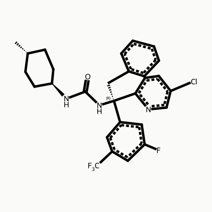 C[C@H]1CC[C@H](NC(=O)N[C@](Cc2ccccc2)(c2cc(F)cc(C(F)(F)F)c2)c2ccc(Cl)cn2)CC1